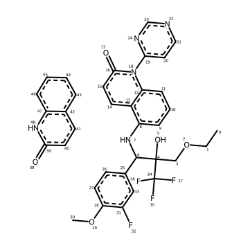 CCOCC(O)(C(Nc1cccc2c1ccc(=O)n2-c1ccncn1)c1ccc(OC)c(F)c1)C(F)(F)F.O=c1ccc2ccccc2[nH]1